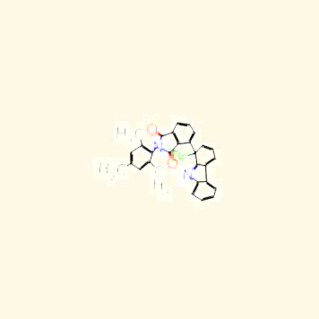 Cc1cc(C)c(N2C(=O)c3cccc(C4(Br)C=CC=C5C4=Nc4ccccc45)c3C2=O)c(C)c1